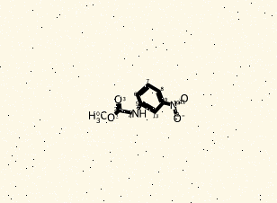 COC(=O)Nc1cccc([N+](=O)[O-])c1